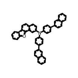 c1ccc2cc(-c3ccc(N(c4ccc(-c5ccc6ccccc6c5)cc4)c4ccc5ccc6c7ccccc7oc6c5c4)cc3)ccc2c1